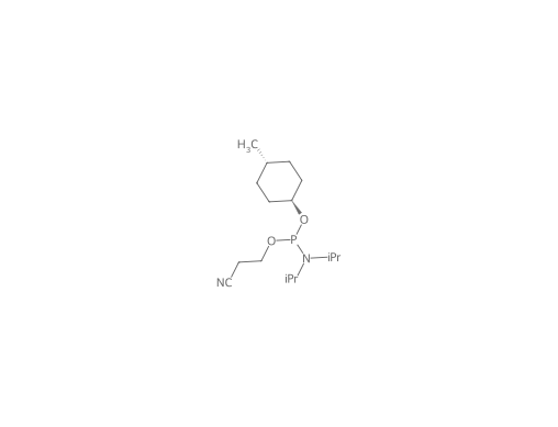 CC(C)N(C(C)C)P(OCCC#N)O[C@H]1CC[C@H](C)CC1